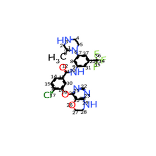 C[C@@H]1CNCCN1c1cc(NC(=O)c2ccc(Cl)c(Oc3ncnc4c3OCCN4)c2)cc(C(F)(F)F)c1